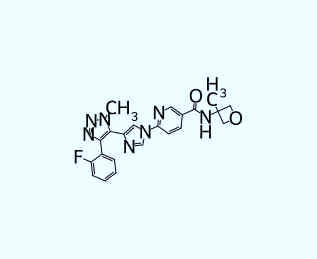 Cn1nnc(-c2ccccc2F)c1-c1cn(-c2ccc(C(=O)NC3(C)COC3)cn2)cn1